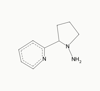 NN1CCCC1c1ccccn1